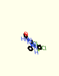 Fc1cc(Cl)cc(Cl)c1Nc1nc2cnc(N[C@H]3CCOC3)nc2n1C1CCCCC1